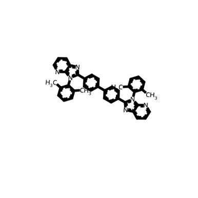 Cc1cccc(C)c1-n1c(-c2ccc(-c3ccc(-c4nc5cccnc5n4-c4c(C)cccc4C)cc3)cc2)nc2cccnc21